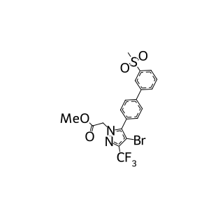 COC(=O)Cn1nc(C(F)(F)F)c(Br)c1-c1ccc(-c2cccc(S(C)(=O)=O)c2)cc1